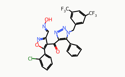 O=C(c1nnn(Cc2cc(C(F)(F)F)cc(C(F)(F)F)c2)c1-c1ccccc1)c1c(C=NO)noc1-c1ccccc1Cl